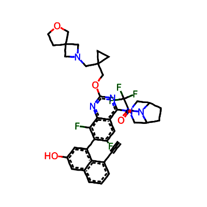 C#Cc1cccc2cc(O)cc(-c3c(F)cc4c(N5CC6CCC(C5)N6C(=O)C(F)(F)F)nc(OCC5(CN6CC7(CCOC7)C6)CC5)nc4c3F)c12